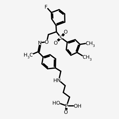 CC(=NOCC(c1cccc(F)c1)S(=O)(=O)c1ccc(C)c(C)c1)c1ccc(CNCCCP(=O)(O)O)cc1